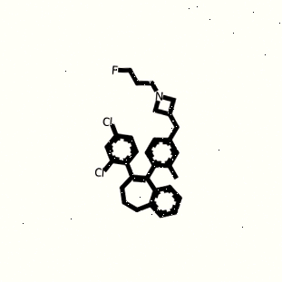 Cc1cc(CC2CN(CCCF)C2)ccc1C1=C(c2ccc(Cl)cc2Cl)CCCc2ccccc21